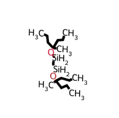 CCCC(C)(CCC)O[SiH2]C[SiH2]OC(C)(CCC)CCC